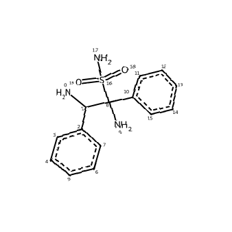 NC(c1ccccc1)C(N)(c1ccccc1)S(N)(=O)=O